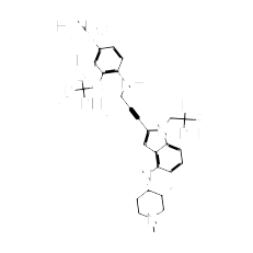 BC(B)(B)Oc1cc(S(N)(=O)=O)ccc1NCC#Cc1cc2c(N[C@@H]3CCN(C)C[C@@H]3C)cccc2n1CC(F)(F)P